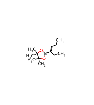 CCC=C(CC)B1OC(C)(C)C(C)(C)O1